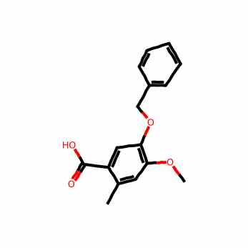 COc1cc(C)c(C(=O)O)cc1OCc1ccccc1